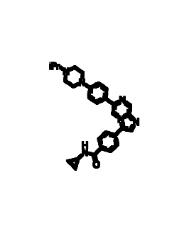 CC(C)N1CCN(c2ccc(-c3cn4c(-c5ccc(C(=O)NC6CC6)cc5)cnc4cn3)cc2)CC1